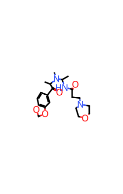 CC(NC(=O)CCN1CCOCC1)N(C)C(C)C(=O)c1ccc2c(c1)OCO2